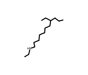 CCCC(CC)CCCCCCCNCC